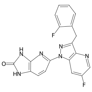 O=c1[nH]c2ccc(-n3nc(Cc4ccccc4F)c4ncc(F)cc43)nc2[nH]1